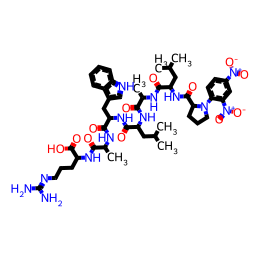 CC(C)CC(NC(=O)C(C)NC(=O)C(CC(C)C)NC(=O)C1CCCN1c1ccc([N+](=O)[O-])cc1[N+](=O)[O-])C(=O)NC(Cc1c[nH]c2ccccc12)C(=O)NC(C)C(=O)NC(CCCN=C(N)N)C(=O)O